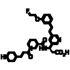 O=C(O)C[C@H](NC(=O)[C@@H]1CCCN(C(=O)CCC2CCNCC2)C1)c1cncc(CCc2cccc(OCCF)c2)c1